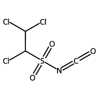 O=C=NS(=O)(=O)C(Cl)C(Cl)Cl